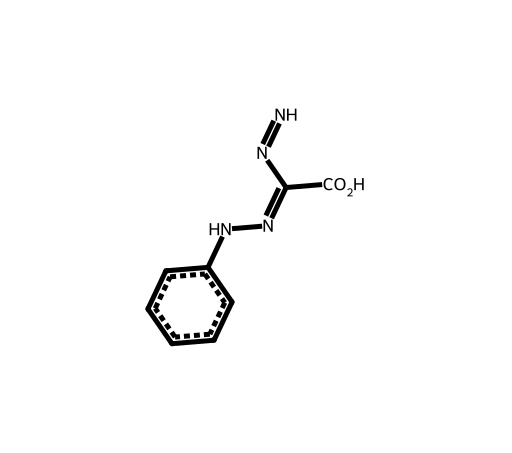 N=N/C(=N\Nc1ccccc1)C(=O)O